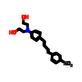 O=[N+]([O-])c1ccc(C=CC=Cc2ccc(N(CCO)CCO)cc2)cc1